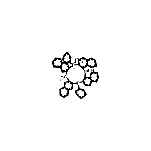 CN1c2cc3ccccc3cc2P(c2ccccc2)c2ccc3ccccc3c2N(C)c2c(ccc3ccccc23)[PH](C)(c2ccccc2)c2cc3ccccc3cc21